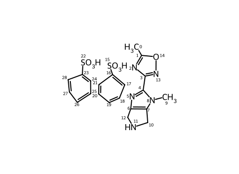 Cc1nc(-c2nc3c(n2C)CNC3)no1.O=S(=O)(O)c1ccccc1.O=S(=O)(O)c1ccccc1